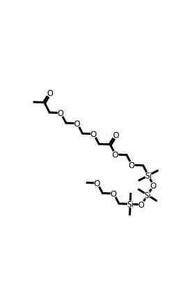 COCOC[Si](C)(C)O[Si](C)(C)O[Si](C)(C)COCOC(=O)COCOCOCC(C)=O